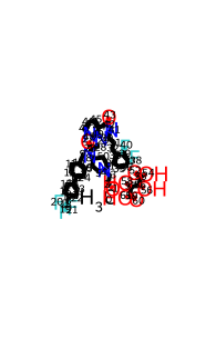 COCCN1CCC(N(Cc2ccc(-c3ccc(C(F)(F)F)cc3)cc2)C(=O)Cn2c(CCc3cccc(F)c3F)nc(=O)c3cccnc32)CC1.O=C(O)C(O)C(O)C(=O)O